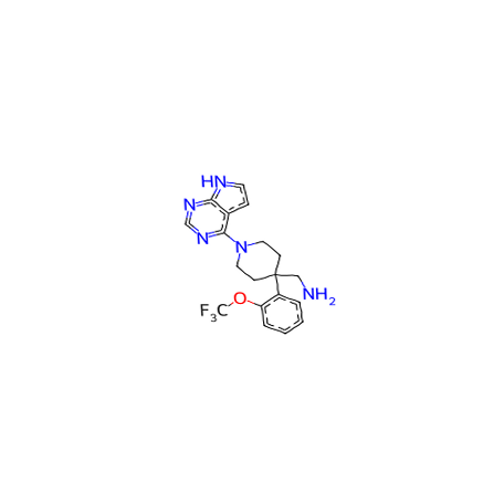 NCC1(c2ccccc2OC(F)(F)F)CCN(c2ncnc3[nH]ccc23)CC1